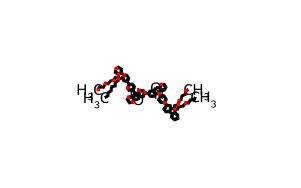 CCCCCCCCC1(CCCCCCCC)c2ccccc2-c2ccc(-c3ccc(N4c5ccccc5Oc5cc(-c6ccc7c(c6)Oc6ccccc6N7c6ccc(-c7ccc8c(c7)C(CCCCCCCC)(CCCCCCCC)c7ccccc7-8)cc6)ccc54)cc3)cc21